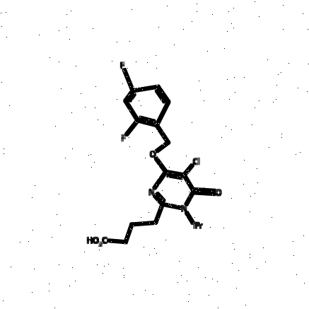 CC(C)n1c(CCCC(=O)O)nc(OCc2ccc(F)cc2F)c(Cl)c1=O